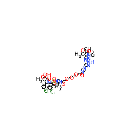 CC(=O)c1c(C)c2cnc(Nc3ccc(N4CCN(C(=O)CCOCCOCCOCCC(=O)N5CCN(S(=O)(=O)C[C@@H](N6C(=O)[C@@](C)(CC(=O)O)C[C@H](c7cccc(Cl)c7)[C@H]6c6ccc(Cl)cc6)C(C)(C)C)CC5)CC4)cn3)nc2n(C2CCCC2)c1=O